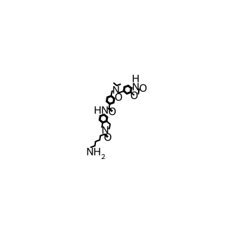 CC(C)N(Cc1ccc(C(=O)Nc2ccc3c(c2)CCN(C(=O)CCCCCN)C3)cc1)C(=O)c1ccc2c(c1)OCC(=O)N2